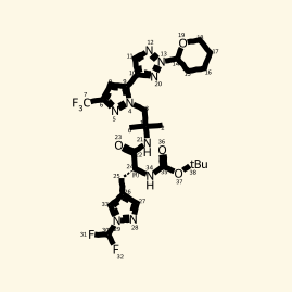 CC(C)(Cn1nc(C(F)(F)F)cc1-c1cnn(C2CCCCO2)n1)NC(=O)[C@@H](Cc1cnn(C(F)F)c1)NC(=O)OC(C)(C)C